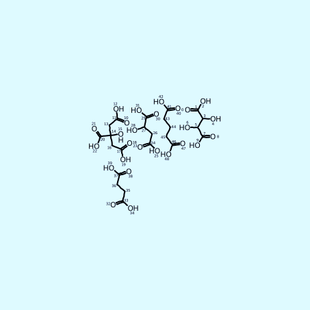 O=C(O)C(O)C(O)C(=O)O.O=C(O)CC(O)(CC(=O)O)C(=O)O.O=C(O)CC(O)C(=O)O.O=C(O)CCC(=O)O.O=C(O)CCCC(=O)O